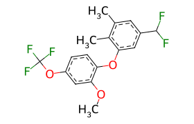 COc1cc(OC(F)(F)F)ccc1Oc1cc(C(F)F)cc(C)c1C